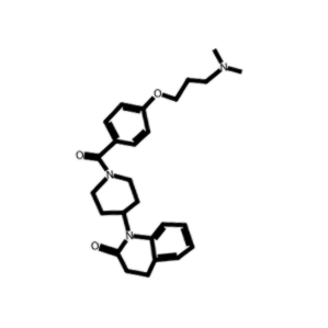 CN(C)CCCOc1ccc(C(=O)N2CCC(N3C(=O)CCc4ccccc43)CC2)cc1